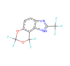 FC1(F)Oc2ccc3nc(C(F)(F)F)[nH]c3c2C(F)(F)O1